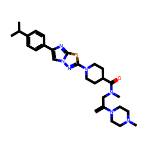 C=C(CN(C)C(=O)C1CCN(c2nn3cc(-c4ccc(C(C)C)cc4)nc3s2)CC1)N1CCN(C)CC1